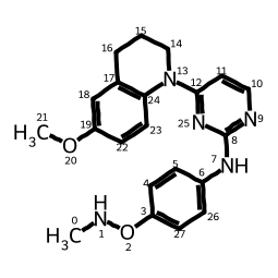 CNOc1ccc(Nc2nccc(N3CCCc4cc(OC)ccc43)n2)cc1